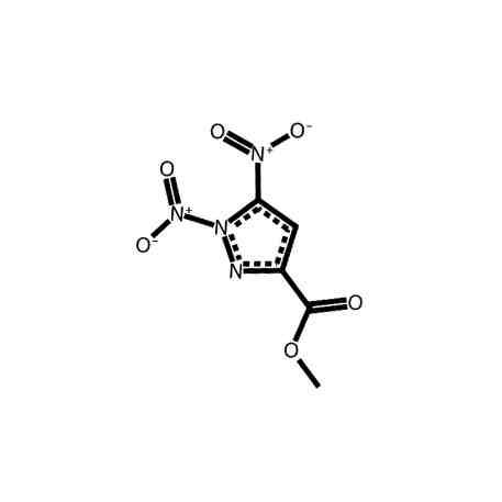 COC(=O)c1cc([N+](=O)[O-])n([N+](=O)[O-])n1